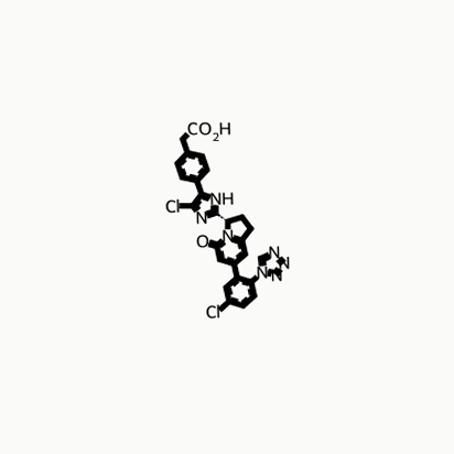 O=C(O)Cc1ccc(-c2[nH]c([C@@H]3CCc4cc(-c5cc(Cl)ccc5-n5cnnn5)cc(=O)n43)nc2Cl)cc1